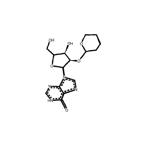 O=c1[nH]cnc2c1ncn2C1OC(CO)[C@@H](O)[C@H]1OC1CCCCO1